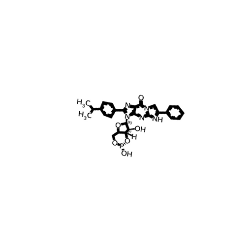 CC(C)c1ccc(-c2nc3c(=O)n4cc(-c5ccccc5)[nH]c4nc3n2[C@@H]2OC3COP(O)O[C@H]3[C@@H]2O)cc1